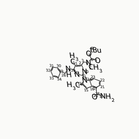 Cc1c(CN(C)C(=O)OC(C)(C)C)nc(-n2c(C)cc3c(C(N)=O)cccc32)nc1NCc1ccccc1